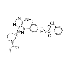 C=CC(=O)N1CCC[C@@H](n2nc(-c3ccc(CNS(=O)(=O)c4ccccc4Cl)cc3)c3c(N)ncnc32)C1